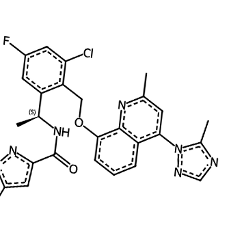 Cc1cc(-n2ncnc2C)c2cccc(OCc3c(Cl)cc(F)cc3[C@H](C)NC(=O)c3cc(C)on3)c2n1